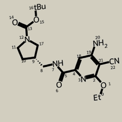 CCOc1nc(C(=O)NC[C@@H]2CCN(C(=O)OC(C)(C)C)C2)cc(N)c1C#N